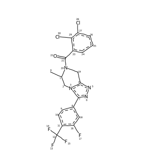 CC1Cn2c(nnc2-c2ccc(C(F)(F)F)c(F)c2)CN1C(=O)c1cccc(Cl)c1Cl